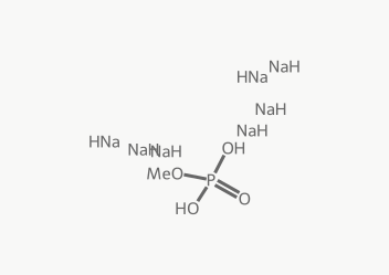 COP(=O)(O)O.[NaH].[NaH].[NaH].[NaH].[NaH].[NaH].[NaH]